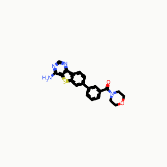 Nc1ncnc2c1sc1cc(-c3cccc(C(=O)N4CCOCC4)c3)ccc12